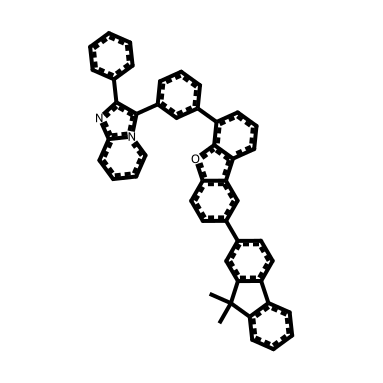 CC1(C)c2ccccc2-c2ccc(-c3ccc4oc5c(-c6cccc(-c7c(-c8ccccc8)nc8ccccn78)c6)cccc5c4c3)cc21